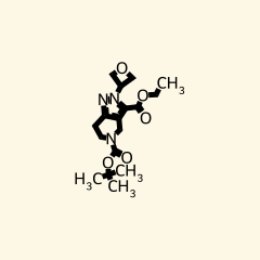 CCOC(=O)c1c2c(nn1C1COC1)CCN(C(=O)OC(C)(C)C)C2